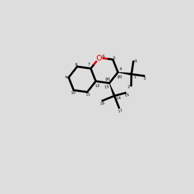 CC(C)(C)[C@@H]1COC2CCCCC2[C@@H]1C(C)(C)C